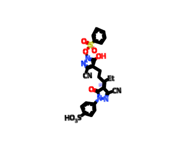 CC/C(CCc1c(C#N)nn(OS(=O)(=O)c2ccccc2)c1O)=C1/C(=O)N(c2ccc(S(=O)(=O)O)cc2)N=C1C#N